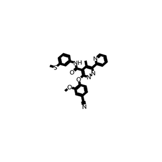 COc1cc(C#N)ccc1Oc1nnc(-c2ccccn2)c(C)c1C(=O)Nc1cccc(SC)c1